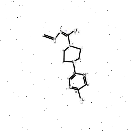 C=N/N=C(\N1CCN(c2cnc(C#N)cn2)CC1)C(F)(F)F